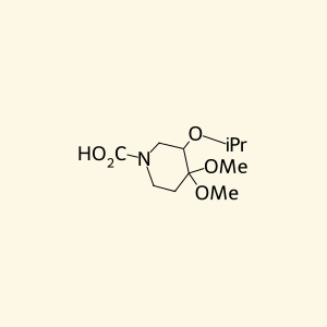 COC1(OC)CCN(C(=O)O)CC1OC(C)C